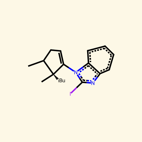 CCC(C)[C@]1(C)C(n2c(I)nc3ccccc32)=CCC1C